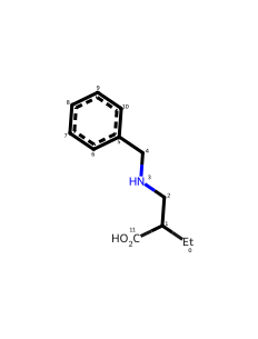 CCC(CNCc1ccccc1)C(=O)O